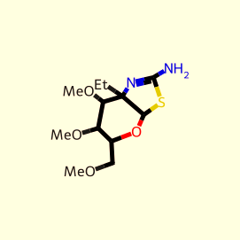 CCC12N=C(N)SC1OC(COC)C(OC)C2OC